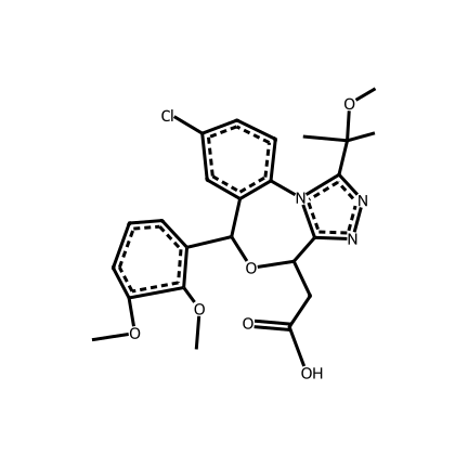 COc1cccc(C2OC(CC(=O)O)c3nnc(C(C)(C)OC)n3-c3ccc(Cl)cc32)c1OC